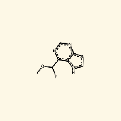 COC(F)c1ncnc2nc[nH]c12